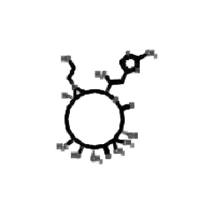 C/C(=C\c1csc(C)n1)[C@@H]1CC2[C@@H](CCC[C@H](C)[C@H](O)[C@@H](C)C(=O)C(C)(C)[C@@H](O)CC(=O)O1)[N@@]2CCO